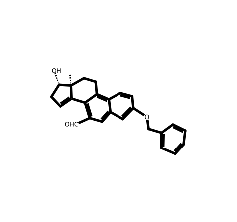 C[C@]12CCc3c(c(C=O)cc4cc(OCc5ccccc5)ccc34)C1=CC[C@@H]2O